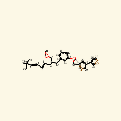 COCC(CC=CC#CC(C)(C)C)Cc1cccc(OCc2cc(-c3ccsc3)cs2)c1